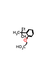 CCC(C)(C)c1ccccc1OCC(=O)O